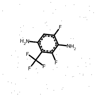 Nc1cc(F)c(N)c(F)c1C(F)(F)F